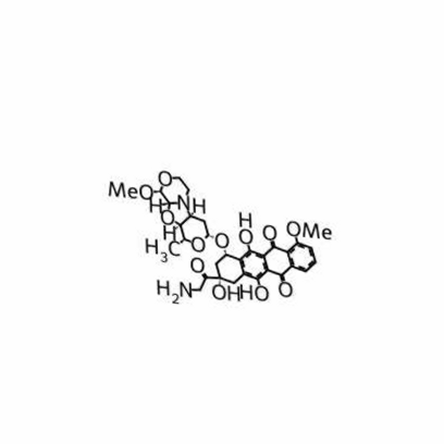 COc1cccc2c1C(=O)c1c(O)c3c(c(O)c1C2=O)C[C@@](O)(C(=O)CN)C[C@@H]3O[C@H]1C[C@H]2[C@H](O[C@@H]3[C@@H](OC)OCCN32)[C@H](C)O1